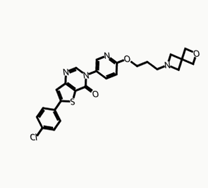 O=c1c2sc(-c3ccc(Cl)cc3)cc2ncn1-c1ccc(OCCCN2CC3(COC3)C2)nc1